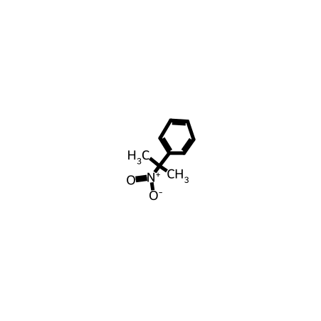 CC(C)(c1ccccc1)[N+](=O)[O-]